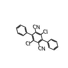 N#Cc1c(Cl)c(-c2ccccc2)c(C#N)c(Cl)c1-c1ccccc1